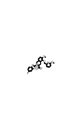 COc1cccc(COc2c(OC)ccc3c2CC(C(=O)O)N(c2nc4ccc(F)cc4o2)C3)n1